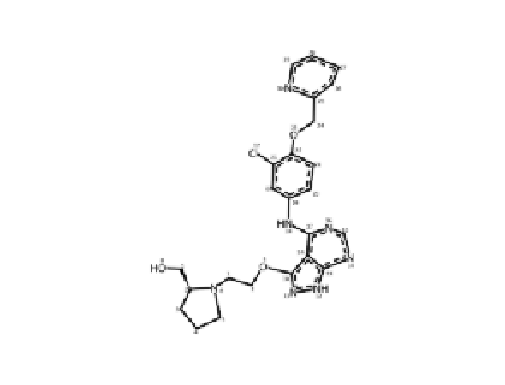 OC[C@@H]1CCCN1CCOc1n[nH]c2ncnc(Nc3ccc(OCc4ccccn4)c(Cl)c3)c12